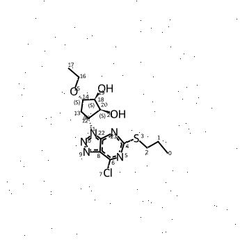 CCCSc1nc(Cl)c2nnn([C@@H]3C[C@H](OCC)[C@@H](O)[C@H]3O)c2n1